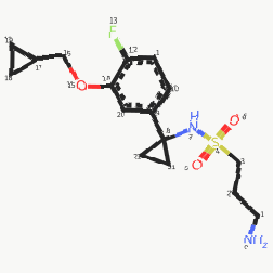 NCCCS(=O)(=O)NC1(c2ccc(F)c(OCC3CC3)c2)CC1